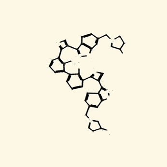 OC1CCN(Cc2ccc3c(C4=CN=C4c4cccc(-c5cccc(C6=NC=C6c6nsc7cc(CN8CCC(O)C8)ccc67)c5Cl)c4Cl)nsc3c2)C1